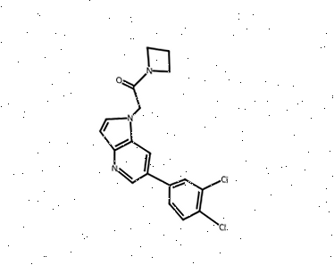 O=C(Cn1ccc2ncc(-c3ccc(Cl)c(Cl)c3)cc21)N1CCC1